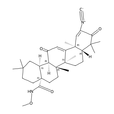 [C-]#[N+]C1=C[C@]2(C)C3=CC(=O)[C@@H]4[C@@H]5CC(C)(C)CC[C@]5(C(=O)NOC)CC[C@@]4(C)[C@]3(C)CC[C@H]2C(C)(C)C1=O